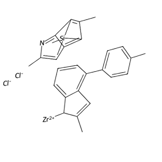 CC1=CC2=C3C(C)=C(C2=N1)[Si]3(C)C.CC1=Cc2c(-c3ccc(C)cc3)cccc2[CH]1[Zr+2].[Cl-].[Cl-]